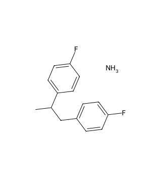 CC(Cc1ccc(F)cc1)c1ccc(F)cc1.N